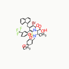 COc1ccc(CN2C(C)C(C(=O)O)n3c(c(-c4cccc(C(F)(F)F)c4)c(Cc4cccc5ccccc45)c(Br)c3=O)S2(=O)=O)cc1